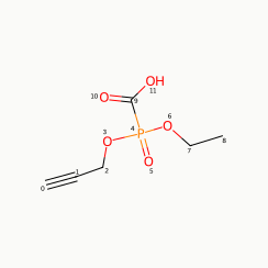 C#CCOP(=O)(OCC)C(=O)O